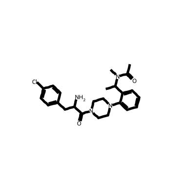 CC(=O)N(C)C(C)c1ccccc1N1CCN(C(=O)C(N)Cc2ccc(Cl)cc2)CC1